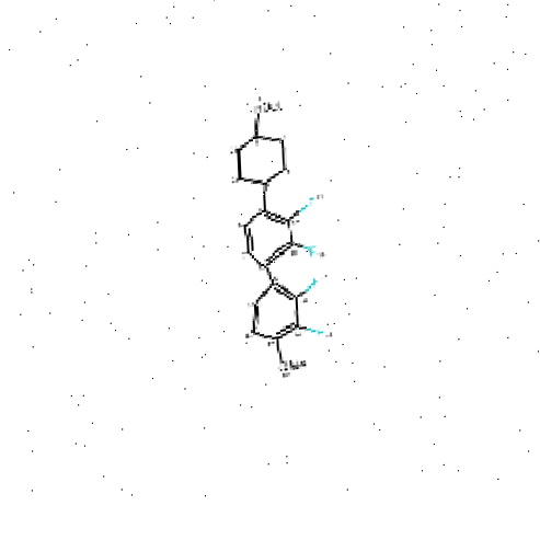 CCCCCCCCC1CCC(c2ccc(-c3ccc(OC)c(F)c3F)c(F)c2F)CC1